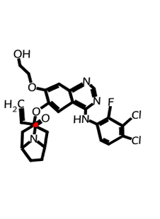 C=CC(=O)N1C2CCC1CC(Oc1cc3c(Nc4ccc(Cl)c(Cl)c4F)ncnc3cc1OCCO)C2